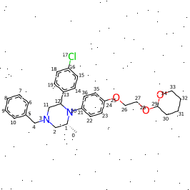 C[C@@H]1CN(Cc2ccccc2)CC(c2ccc(Cl)cc2)N1c1ccc(OCCOC2CCCCO2)cc1